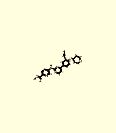 COC(=O)c1ccc(Nc2nccc(-c3ccc(OC4CCOCC4)c(C#N)c3)n2)cn1